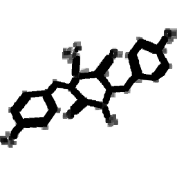 Cc1ccc(CC2C(=O)N(C)C(Cc3ccc(O)cc3)C(=O)N2C)cc1